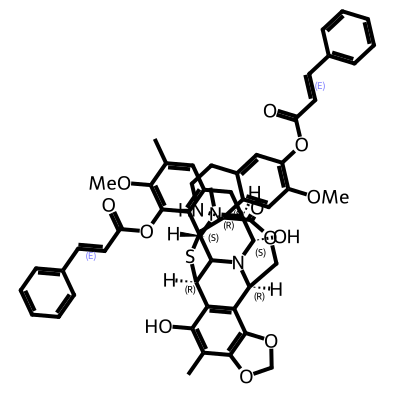 COc1cc2c(cc1OC(=O)/C=C/c1ccccc1)CCN[C@]21CS[C@@H]2c3c(O)c(C)c4c(c3[C@H](COC1=O)N1C2[C@@H]2c3c(cc(C)c(OC)c3OC(=O)/C=C/c3ccccc3)C[C@@H]([C@@H]1O)N2C)OCO4